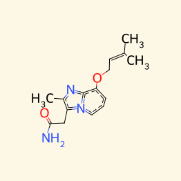 CC(C)=CCOc1cccn2c(CC(N)=O)c(C)nc12